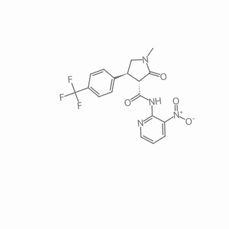 CN1C[C@H](c2ccc(C(F)(F)F)cc2)[C@@H](C(=O)Nc2ncccc2[N+](=O)[O-])C1=O